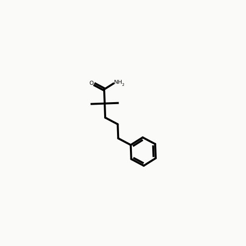 CC(C)(CCCc1ccccc1)C(N)=O